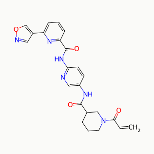 C=CC(=O)N1CCCC(C(=O)Nc2ccc(NC(=O)c3cccc(-c4cnoc4)n3)nc2)C1